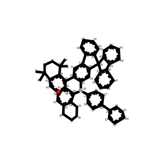 CC1(C)CCC(C)(C)c2c(-c3cc4c(cc3N(c3ccc(-c5ccccc5)cc3)c3cccc5c3CCCC5)C3(c5ccccc5-c5ccccc53)c3ccccc3-4)cccc21